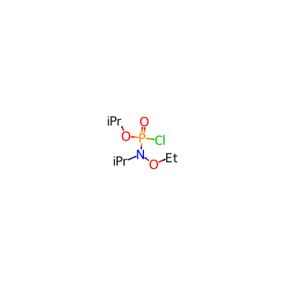 CCON(C(C)C)P(=O)(Cl)OC(C)C